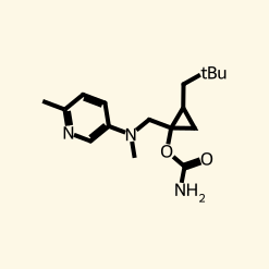 Cc1ccc(N(C)CC2(OC(N)=O)CC2CC(C)(C)C)cn1